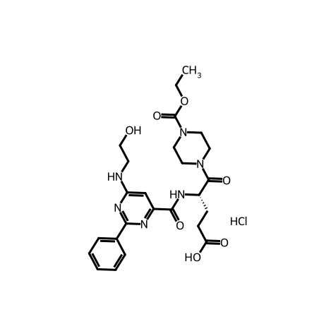 CCOC(=O)N1CCN(C(=O)[C@H](CCC(=O)O)NC(=O)c2cc(NCCO)nc(-c3ccccc3)n2)CC1.Cl